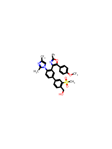 Cc1nc(C(F)(F)F)cn1-c1ccc(-c2ccc(CO)c(S(C)(=O)=O)c2)cc1-c1nc(C(C)C)oc1-c1ccc(OC(F)(F)F)cc1